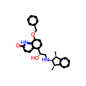 C[C@@H]1c2ccccc2[C@H](C)[C@@H]1NC[C@H](O)c1ccc(OCc2ccccc2)c2[nH]c(=O)ccc12